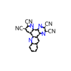 N#Cc1cc2c3nc4ccccc4cc3c3nc(C#N)c(C#N)nc3c2nc1C#N